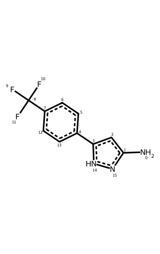 Nc1cc(-c2ccc(C(F)(F)F)cc2)[nH]n1